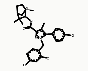 Cc1c(C(=O)NC2C(C)(C)C3CC[C@@]2(C)C3)nn(Cc2ccc(Cl)cc2Cl)c1-c1ccc(Cl)cc1